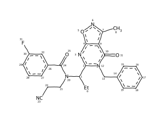 CCC(c1nc2onc(C)c2c(=O)n1Cc1ccccc1)N(CCC#N)C(=O)c1cccc(F)c1